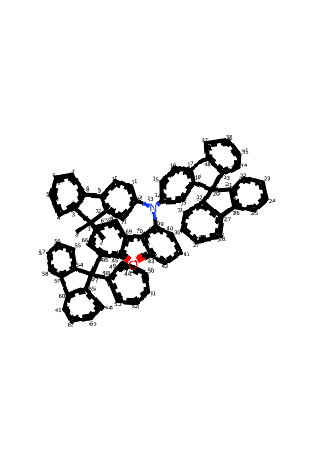 CC1(C)c2ccccc2-c2ccc(N(c3ccc4c(c3)C3(c5ccccc5-c5ccccc53)c3ccccc3-4)c3cccc4oc5c(C6(c7ccccc7)c7ccccc7-c7ccccc76)cccc5c34)cc21